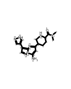 CN(C)C(=O)C1CCC(c2cc(N)n3ncc(-c4cn[nH]c4)c3n2)CN1